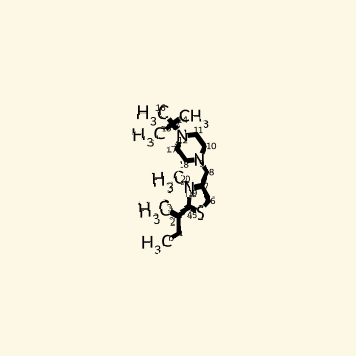 CCC(C)C1SCC(CN2CCN(C(C)(C)C)CC2)N1C